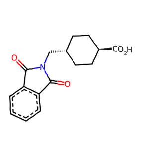 O=C1c2ccccc2C(=O)N1C[C@H]1CC[C@H](C(=O)O)CC1